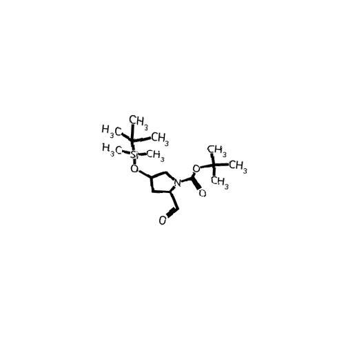 CC(C)(C)OC(=O)N1CC(O[Si](C)(C)C(C)(C)C)CC1C=O